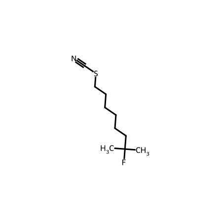 CC(C)(F)CCCCCCSC#N